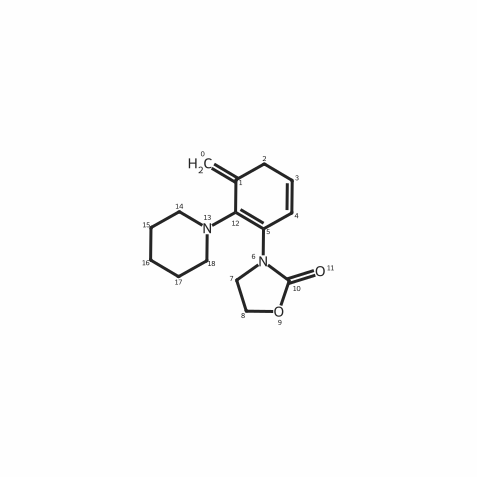 C=C1CC=CC(N2CCOC2=O)=C1N1CCCCC1